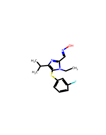 CCn1c(/C=N/O)nc(C(C)C)c1Sc1cccc(F)c1